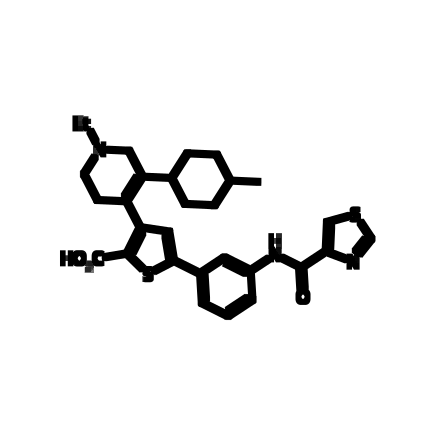 CCN1CCC(c2cc(-c3cccc(NC(=O)c4cscn4)c3)sc2C(=O)O)=C(C2CCC(C)CC2)C1